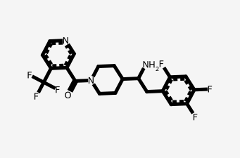 NC(Cc1cc(F)c(F)cc1F)C1CCN(C(=O)c2cnccc2C(F)(F)F)CC1